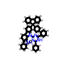 CNC(N/C(=N\Cn1c2cc(C3(c4ccccc4)c4ccccc4-c4ccccc43)ccc2c2ccc3c4ccccc4[nH]c3c21)c1ccccc1)c1ccccc1